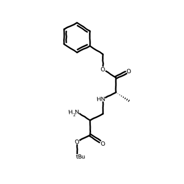 C[C@H](NCC(N)C(=O)OC(C)(C)C)C(=O)OCc1ccccc1